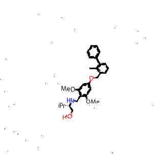 COc1cc(OCc2cccc(-c3ccccc3)c2C)cc(OC)c1CN[C@H](CO)C(C)C